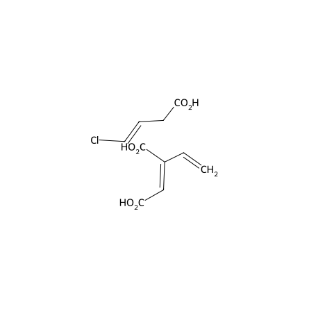 C=C/C(=C/C(=O)O)C(=O)O.O=C(O)CC=CCl